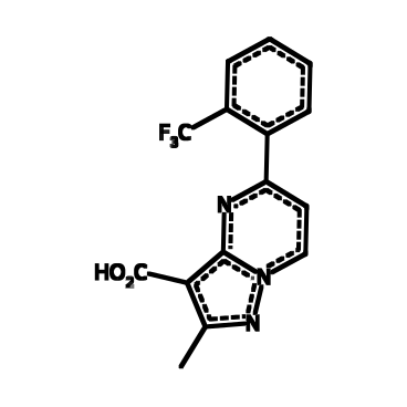 Cc1nn2ccc(-c3ccccc3C(F)(F)F)nc2c1C(=O)O